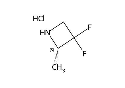 C[C@@H]1NCC1(F)F.Cl